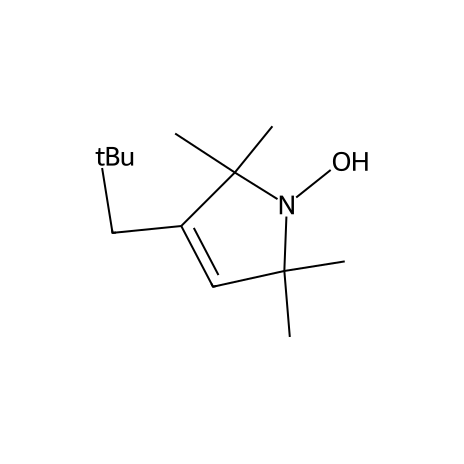 CC(C)(C)CC1=CC(C)(C)N(O)C1(C)C